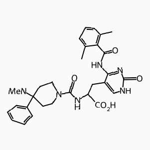 CNC1(c2ccccc2)CCN(C(=O)NC(Cc2c[nH]c(=O)nc2NC(=O)c2c(C)cccc2C)C(=O)O)CC1